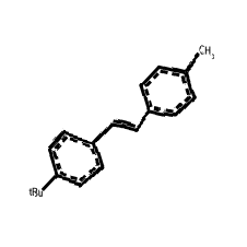 Cc1ccc(/C=C/c2ccc(C(C)(C)C)cc2)cc1